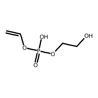 C=COP(=O)(O)OCCO